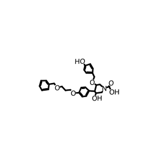 O=C(O)N1CC(O)C(c2ccc(OCCCOCc3ccccc3)cc2)C(OCc2ccc(O)cc2)C1